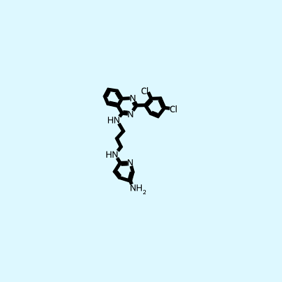 Nc1ccc(NCCCNc2nc(-c3ccc(Cl)cc3Cl)nc3ccccc23)nc1